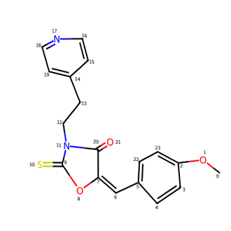 COc1ccc(/C=C2/OC(=S)N(CCc3ccncc3)C2=O)cc1